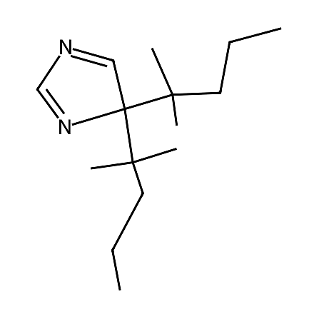 CCCC(C)(C)C1(C(C)(C)CCC)C=NC=N1